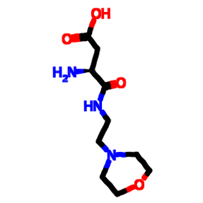 N[C@@H](CC(=O)O)C(=O)NCCN1CCOCC1